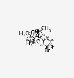 CC(=O)CC(C)(N[S+]([O-])C(C)(C)C)c1ccc(F)c(Br)c1